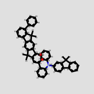 CC1(C)c2ccccc2-c2ccc(N(c3ccccc3)c3ccccc3-c3ccc4c(c3)C(C)(C)c3cc5c(cc3-4)C(C)(C)c3c(-c4ccccc4)cccc3-5)cc21